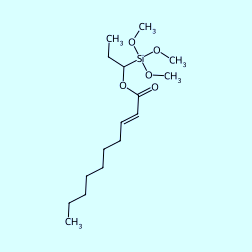 CCCCCCCC=CC(=O)OC(CC)[Si](OC)(OC)OC